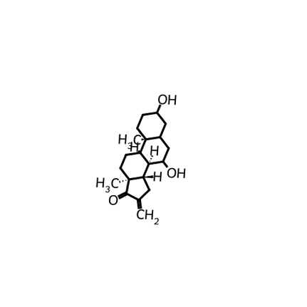 C=C1C[C@H]2[C@@H]3C(O)CC4CC(O)CC[C@]4(C)[C@@H]3CC[C@]2(C)C1=O